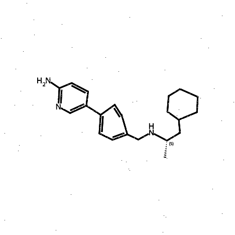 C[C@@H](CC1CCCCC1)NCc1[c]cc(-c2ccc(N)nc2)cc1